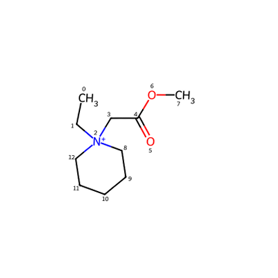 CC[N+]1(CC(=O)OC)CCCCC1